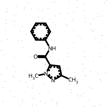 Cc1cc(C(=O)Nc2ccccc2)n(C)n1